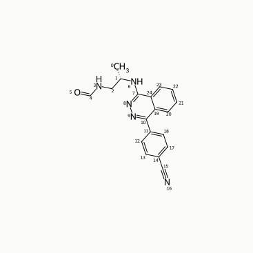 C[C@@H](CNC=O)Nc1nnc(-c2ccc(C#N)cc2)c2ccccc12